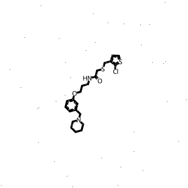 O=C(CSCc1ccsc1Cl)NCCCOc1cccc(CN2CCCCC2)c1